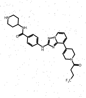 O=C(NC1CCNCC1)c1ccc(Nc2nc3c(C4=CCN(C(=O)CCC(F)(F)F)CC4)cccn3n2)cc1